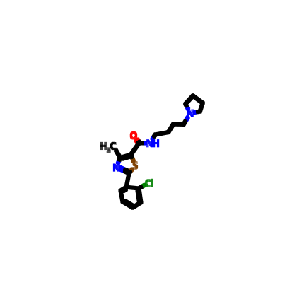 Cc1nc(-c2ccccc2Cl)sc1C(=O)NCCCCN1CCCC1